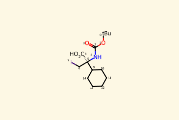 CC(C)(C)OC(=O)N[C@@](CI)(C(=O)O)C1CCCCC1